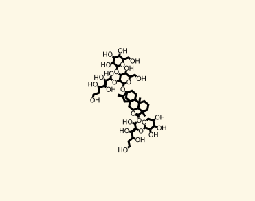 C=C1CC23CCC4C(C)(C(=O)OC(O)/C(OC5OCC(O)C(O)C5O)=C(\O)C(O)CCO)CCCC4(C)C2CCC1(OC1OC(CO)C(O)C(OC2OC(CO)C(O)C(O)C2O)C1OC(O)/C(O)=C(\O)C(O)CCO)C3